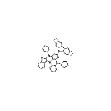 C1=C2CCC2=CC2C1c1cc3c(cc1N2c1cc2c4c(c1)N(c1ccccc1)c1oc5ccccc5c1B4c1ccccc1N2c1ccccc1)CC3